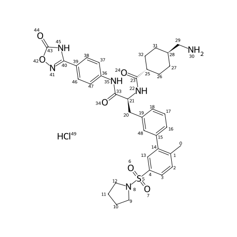 Cc1ccc(S(=O)(=O)N2CCCC2)cc1-c1cccc(C[C@H](NC(=O)[C@H]2CC[C@H](CN)CC2)C(=O)Nc2ccc(-c3noc(=O)[nH]3)cc2)c1.Cl